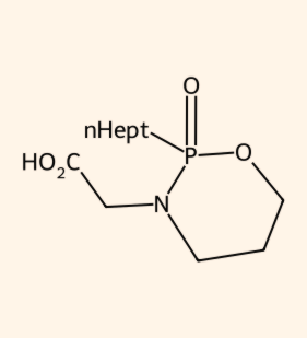 CCCCCCCP1(=O)OCCCN1CC(=O)O